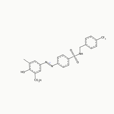 Cc1cc(/N=N/c2ccc(S(=O)(=O)NCc3ccc(C(F)(F)F)cc3)cc2)cc(C(=O)O)c1O